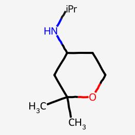 CC(C)NC1CCOC(C)(C)C1